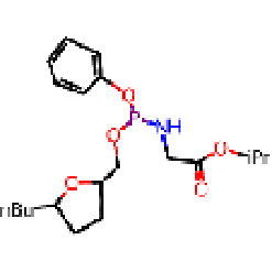 CCCCC1CCC(COP(NCC(=O)OC(C)C)Oc2ccccc2)O1